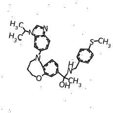 CSc1ccc(CNC(C)(O)c2ccc3c(c2)OCCCN3c2ccc3ncn(C(C)C)c3c2)cc1